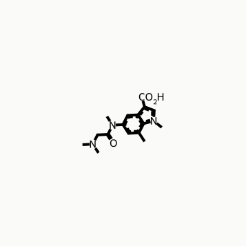 Cc1cc(N(C)C(=O)CN(C)C)cc2c(C(=O)O)cn(C)c12